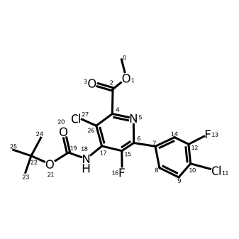 COC(=O)c1nc(-c2ccc(Cl)c(F)c2)c(F)c(NC(=O)OC(C)(C)C)c1Cl